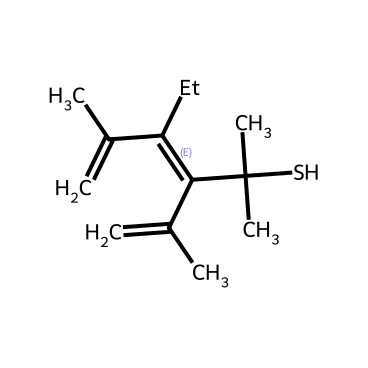 C=C(C)/C(CC)=C(\C(=C)C)C(C)(C)S